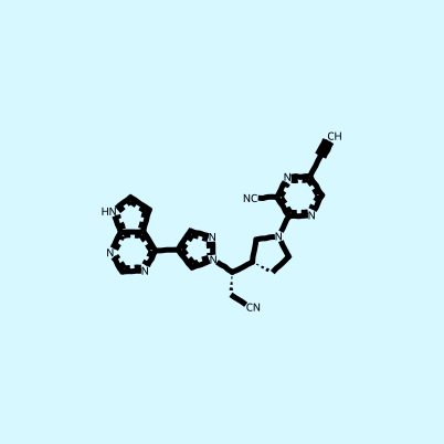 C#Cc1cnc(N2CC[C@H]([C@H](CC#N)n3cc(-c4ncnc5[nH]ccc45)cn3)C2)c(C#N)n1